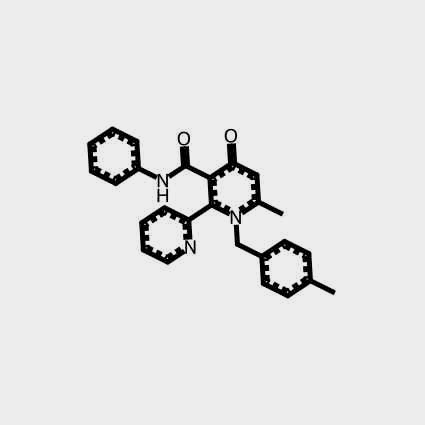 Cc1ccc(Cn2c(C)cc(=O)c(C(=O)Nc3ccccc3)c2-c2ccccn2)cc1